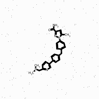 Cc1cc(C(N)=O)nn1-c1ccc(Cc2ccc(-c3ccc(CN(C)C)nc3)cc2)cc1